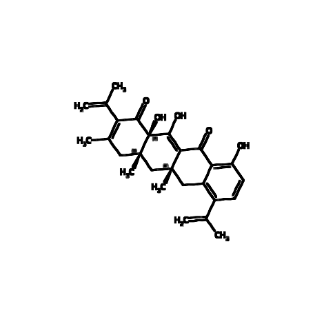 C=C(C)C1=C(C)C[C@@]2(C)C[C@@]3(C)Cc4c(C(=C)C)ccc(O)c4C(=O)C3=C(O)[C@@]2(O)C1=O